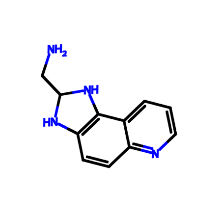 NCC1Nc2ccc3ncccc3c2N1